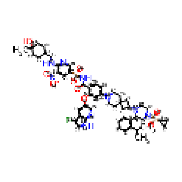 CC(C)c1ccccc1[C@@H]1CN(S(=O)(=O)C2CC2)CCN1C1CC2(CCN(c3ccc(C(=O)NS(=O)(=O)c4cnc(NCC5CCC(C)(O)CC5)c([N+](=O)[O-])c4)c(Oc4cnc5[nH]cc(F)c5c4)c3)CC2)C1